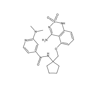 CN(C)c1cc(C(=O)NC2(COc3cccc4c3C(N)=NS(=O)(=O)N4)CCCC2)ccn1